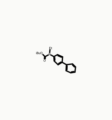 CCN(C(=O)OCC(C)C)c1ccc(-c2ccccc2)cc1